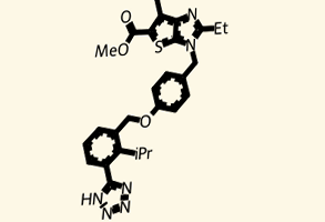 CCc1nc2c(C)c(C(=O)OC)sc2n1Cc1ccc(OCc2cccc(-c3nnn[nH]3)c2C(C)C)cc1